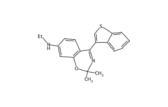 CCNc1ccc2c(c1)OC(C)(C)N=C2c1csc2ccccc12